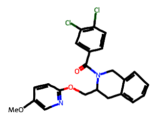 COc1ccc(OCC2Cc3ccccc3CN2C(=O)c2ccc(Cl)c(Cl)c2)nc1